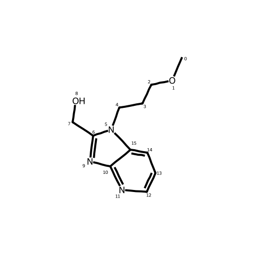 COCCCn1c(CO)nc2ncccc21